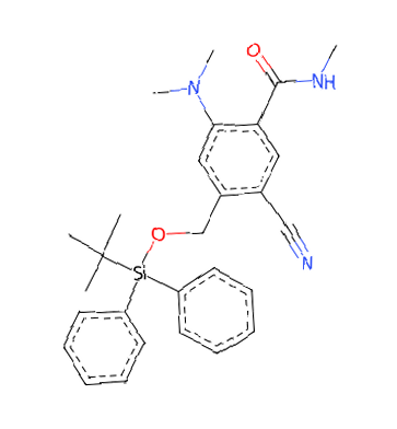 CNC(=O)c1cc(C#N)c(CO[Si](c2ccccc2)(c2ccccc2)C(C)(C)C)cc1N(C)C